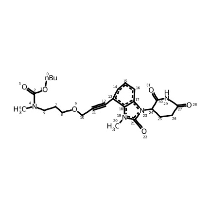 CCCCOC(=O)N(C)CCCOCC#Cc1cccc2c1n(C)c(=O)n2C1CCC(=O)NC1=O